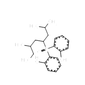 CCC(C)CC(CC(C)C)P(=O)(c1ccccc1C)c1ccccc1C